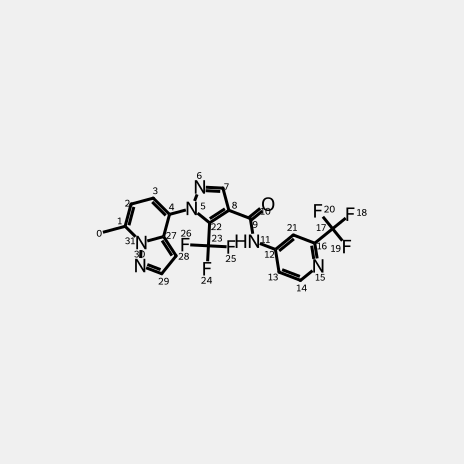 Cc1ccc(-n2ncc(C(=O)Nc3ccnc(C(F)(F)F)c3)c2C(F)(F)F)c2ccnn12